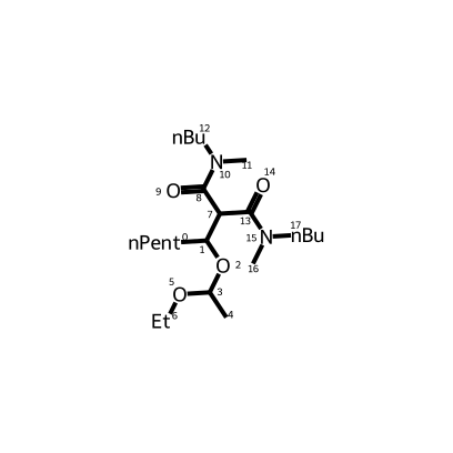 CCCCCC(OC(C)OCC)C(C(=O)N(C)CCCC)C(=O)N(C)CCCC